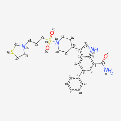 NC(=O)c1cc(-c2ccccc2)cc2c(C3CCN(S(=O)(=O)CCCN4CCSC4)CC3)c[nH]c12